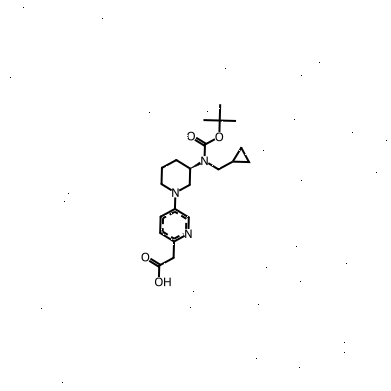 CC(C)(C)OC(=O)N(CC1CC1)[C@@H]1CCCN(c2ccc(CC(=O)O)nc2)C1